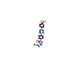 CC(=O)C(C)n1ncn(-c2ccc(N3CCN(c4ccc(O)cc4)CC3)cc2)c1=O